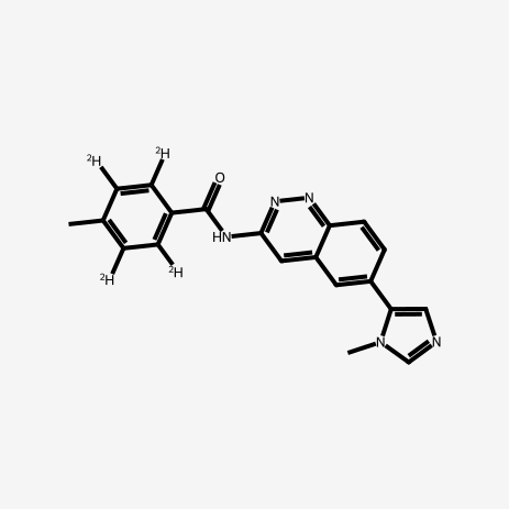 [2H]c1c([2H])c(C(=O)Nc2cc3cc(-c4cncn4C)ccc3nn2)c([2H])c([2H])c1C